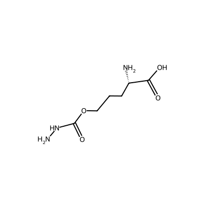 NNC(=O)OCCC[C@H](N)C(=O)O